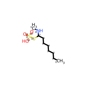 CCCCCCCC(NC)SS(=O)(=O)O